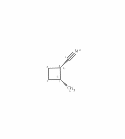 C[C@H]1CC[C@H]1C#N